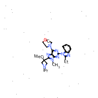 CCc1nc2ccccc2n1-c1nc(N2CCOCC2)c2nc(C3(OC)CN(C(C)C)C3)n(C)c2n1